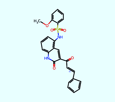 COc1ccccc1S(=O)(=O)Nc1cccc2[nH]c(=O)c(C(=O)/C=C/c3ccccc3)cc12